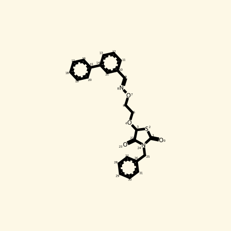 O=C1SC(OCCON=Cc2cccc(-c3ccccc3)c2)C(=O)N1Cc1ccccc1